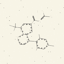 NC(N)=NC(=O)c1cc(C(F)(F)F)c2nccc(-c3c(F)cc(F)cc3F)c2c1